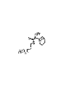 CCCN(C(=S)SCCC(=O)O)C1CC2CCC1C2